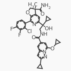 C[C@]1(C(N)=O)COc2c1cc([C@@](O)(CNC(=O)c1cc(OC3CC3)n3nc(C4CC4)cc3c1)C1CC1)nc2-c1ccc(F)c(F)c1Cl